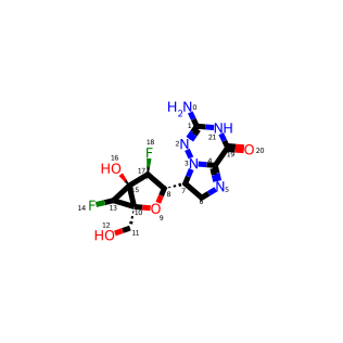 NC1=NN2C(=NCC2[C@@H]2O[C@@]3(CO)C(F)[C@]3(O)[C@H]2F)C(=O)N1